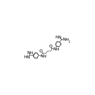 N=C(N)c1ccc(NC(=O)CCCC(=O)Nc2ccc(C(=N)N)cc2)cc1